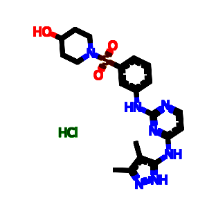 Cc1n[nH]c(Nc2ccnc(Nc3cccc(S(=O)(=O)N4CCC(O)CC4)c3)n2)c1C.Cl